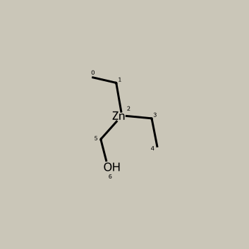 C[CH2][Zn]([CH2]C)[CH2]O